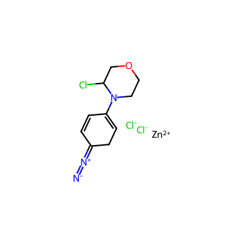 [Cl-].[Cl-].[N-]=[N+]=C1C=CC(N2CCOCC2Cl)=CC1.[Zn+2]